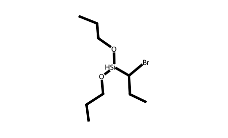 CCCO[SiH](OCCC)C(Br)CC